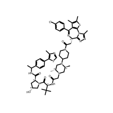 Cc1ncsc1-c1ccc(C(C)NC(=O)[C@@H]2C[C@@H](O)CN2C(=O)[C@@H](NC(=O)CN2C[C@H](C)N(C3CCN(C(=O)C[C@@H]4N=C(c5ccc(Cl)cc5)c5c(sc(C)c5C)-n5c(C)nnc54)CC3)C[C@H]2C)C(C)(C)C)cc1